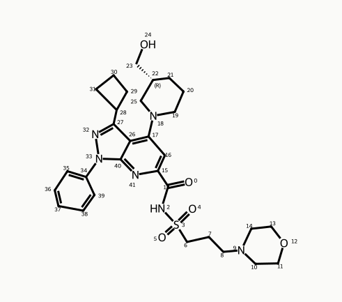 O=C(NS(=O)(=O)CCCN1CCOCC1)c1cc(N2CCC[C@@H](CO)C2)c2c(C3CCC3)nn(-c3ccccc3)c2n1